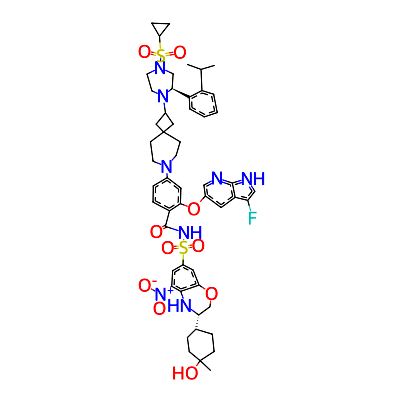 CC(C)c1ccccc1[C@@H]1CN(S(=O)(=O)C2CC2)CCN1C1CC2(CCN(c3ccc(C(=O)NS(=O)(=O)c4cc5c(c([N+](=O)[O-])c4)N[C@@H](C4CCC(C)(O)CC4)CO5)c(Oc4cnc5[nH]cc(F)c5c4)c3)CC2)C1